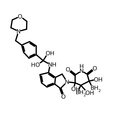 BC1(O)C(=O)NC(=O)C(O)(N2Cc3c(NC(O)(O)c4ccc(CN5CCOCC5)cc4)cccc3C2=O)C1(B)O